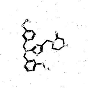 COc1cccc(CN(Cc2cccc(OC)c2)c2nc(CN3CCNCC3=O)co2)c1